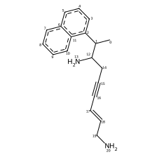 CC(c1cccc2ccccc12)C(N)CC#CC=CCN